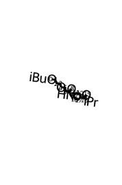 CC(C)COCCCOCCC(=O)N[C@H]1CC[C@@H](C(=O)C(C)C)CC1